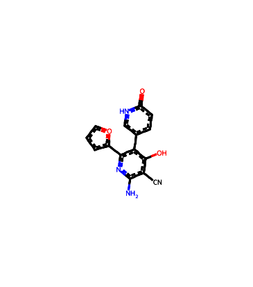 N#Cc1c(N)nc(-c2ccco2)c(-c2ccc(=O)[nH]c2)c1O